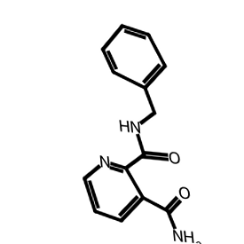 NC(=O)c1cccnc1C(=O)NCc1ccccc1